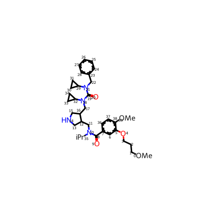 COCCCOc1cc(C(=O)N(CC2CNCC2CN(C(=O)N(Cc2ccccc2)C2CC2)C2CC2)C(C)C)ccc1OC